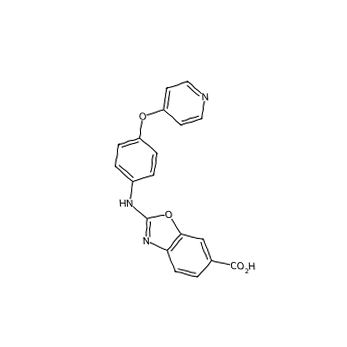 O=C(O)c1ccc2nc(Nc3ccc(Oc4ccncc4)cc3)oc2c1